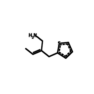 C/C=C(\CN)Cc1cccs1